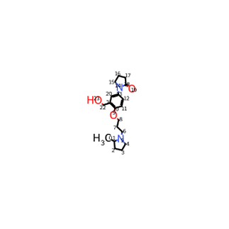 CC1CCCN1CCCOc1ccc(N2CCCC2=O)cc1CO